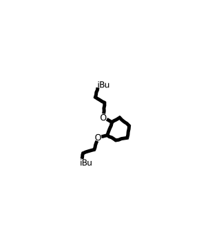 CCC(C)CCOC1CCCCC1OCCC(C)CC